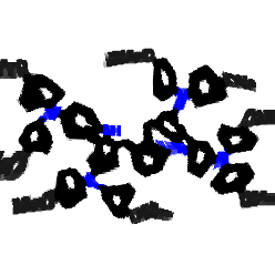 COc1ccc(N(c2ccc(OC)cc2)c2ccc3[nH]c4c(Cc5ccccc5Cc5cc(N(c6ccc(OC)cc6)c6ccc(OC)cc6)cc6c5[nH]c5ccc(N(c7ccc(OC)cc7)c7ccc(OC)cc7)cc56)cc(N(c5ccc(OC)cc5)c5ccc(OC)cc5)cc4c3c2)cc1